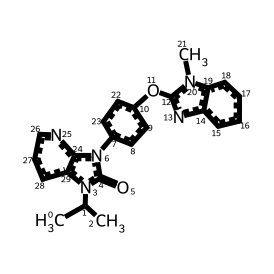 CC(C)n1c(=O)n(-c2ccc(Oc3nc4ccccc4n3C)cc2)c2ncccc21